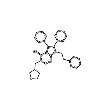 N=c1c2c(-c3ccccc3)c(-c3ccccc3)n(CCc3ccccc3)c2ncn1CC1CCOC1